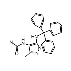 Cc1n[nH]c(NC(c2ccccc2)(c2ccccc2)c2ccccc2)c1NC([N])=O